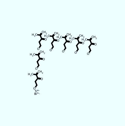 C=C(C)C(=O)CC[O-].C=C(C)C(=O)CC[O-].C=C(C)C(=O)CC[O-].C=C(C)C(=O)CC[O-].C=C(C)C(=O)CC[O-].C=C(C)C(=O)CC[O-].C=C(C)C(=O)CC[O-].[Bi+3].[Ti+4]